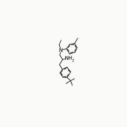 CCN(CC(N)Cc1ccc(C(C)(C)C)cc1)c1cccc(C)c1